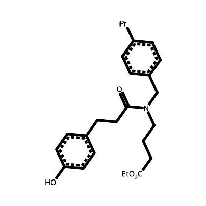 CCOC(=O)CCCN(Cc1ccc(C(C)C)cc1)C(=O)CCc1ccc(O)cc1